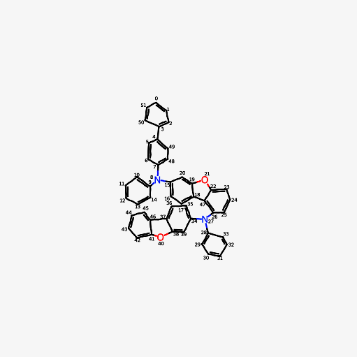 c1ccc(-c2ccc(N(c3ccccc3)c3ccc4c(c3)oc3cccc(N(c5ccccc5)c5ccc6c(c5)oc5ccccc56)c34)cc2)cc1